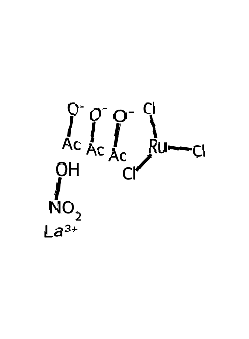 CC(=O)[O-].CC(=O)[O-].CC(=O)[O-].O=[N+]([O-])O.[Cl][Ru]([Cl])[Cl].[La+3]